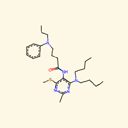 CCCCN(CCCC)c1nc(C)nc(SC)c1NC(=O)CCCN(CCC)c1ccccc1